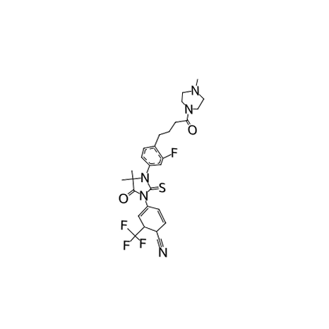 CN1CCN(C(=O)CCCc2ccc(N3C(=S)N(C4=CC(C(F)(F)F)C(C#N)C=C4)C(=O)C3(C)C)cc2F)CC1